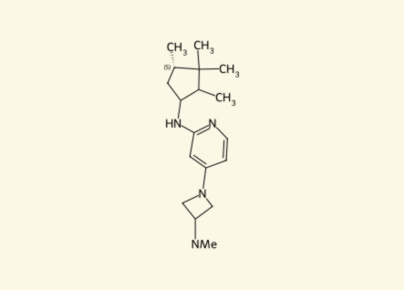 CNC1CN(c2ccnc(NC3C[C@H](C)C(C)(C)C3C)c2)C1